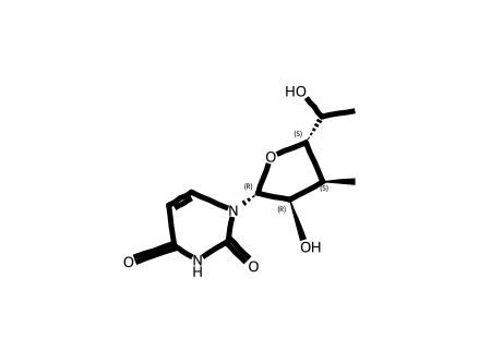 CC(O)[C@H]1O[C@@H](n2ccc(=O)[nH]c2=O)[C@H](O)[C@@H]1C